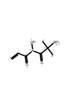 C=CC(=O)N(O)C(=O)C(C)(C)N